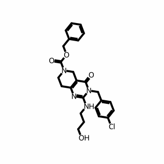 O=C(OCc1ccccc1)N1CCc2nc(NCCCO)n(Cc3ccc(Cl)cc3)c(=O)c2C1